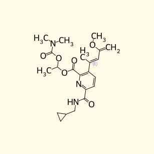 C=C(/C=C(\C)c1ccc(C(=O)NCC2CC2)nc1C(=O)OC(C)OC(=O)N(C)C)OC